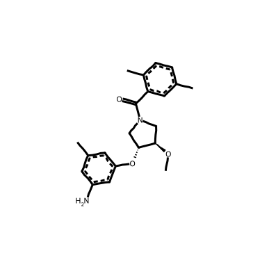 CO[C@@H]1CN(C(=O)c2cc(C)ccc2C)C[C@H]1Oc1cc(C)cc(N)c1